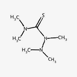 CN(C)C(=S)N(C)N(C)C